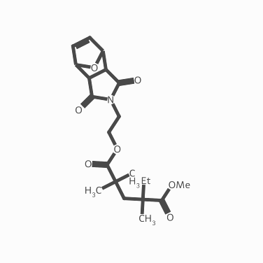 CCC(C)(CC(C)(C)C(=O)OCCN1C(=O)C2C3C=CC(O3)C2C1=O)C(=O)OC